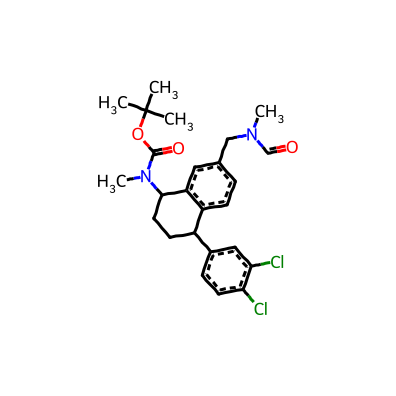 CN(C=O)Cc1ccc2c(c1)C(N(C)C(=O)OC(C)(C)C)CCC2c1ccc(Cl)c(Cl)c1